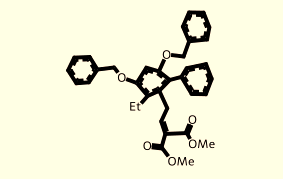 CCc1c(OCc2ccccc2)cc(OCc2ccccc2)c(-c2ccccc2)c1CC=C(C(=O)OC)C(=O)OC